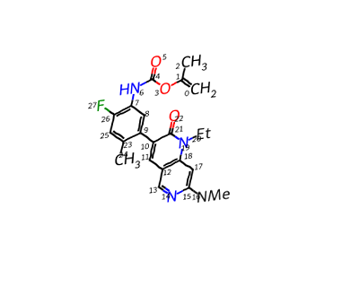 C=C(C)OC(=O)Nc1cc(-c2cc3cnc(NC)cc3n(CC)c2=O)c(C)cc1F